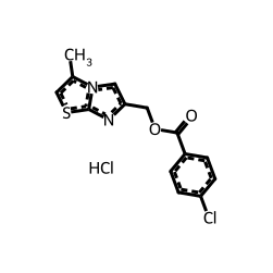 Cc1csc2nc(COC(=O)c3ccc(Cl)cc3)cn12.Cl